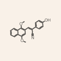 COc1cc(C=C(C#N)c2ccc(O)cc2)c(OC)c2ccccc12